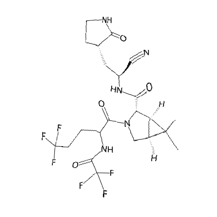 CC1(C)[C@@H]2[C@@H](C(=O)N[C@H](C#N)C[C@@H]3CCNC3=O)N(C(=O)C(CCC(F)(F)F)NC(=O)C(F)(F)F)C[C@@H]21